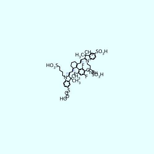 CCCCOc1c(F)cc(F)c(C2=C(/C=C/C3=[N+](CCCCS(=O)(=O)O)c4ccc(S(=O)(=O)O)cc4C3(C)C)CCC/C2=C\C=C2\N(CCCCS(=O)(=O)O)c3ccc(SOOO)cc3C2(C)C)c1F